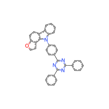 c1ccc(-c2nc(-c3ccccc3)nc(-c3ccc(-n4c5ccccc5c5ccc6occc6c54)cc3)n2)cc1